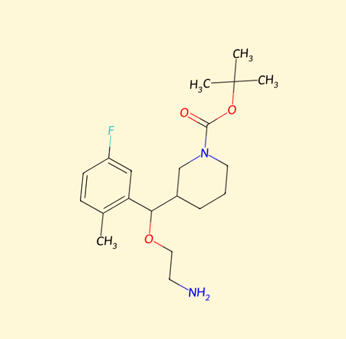 Cc1ccc(F)cc1C(OCCN)C1CCCN(C(=O)OC(C)(C)C)C1